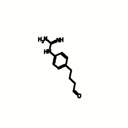 N=C(N)Nc1ccc(CCCC=O)cc1